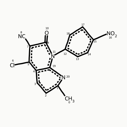 Cc1ccc2c(Cl)c(C#N)c(=O)n(-c3ccc([N+](=O)[O-])cc3)c2n1